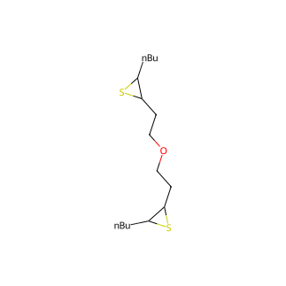 CCCCC1SC1CCOCCC1SC1CCCC